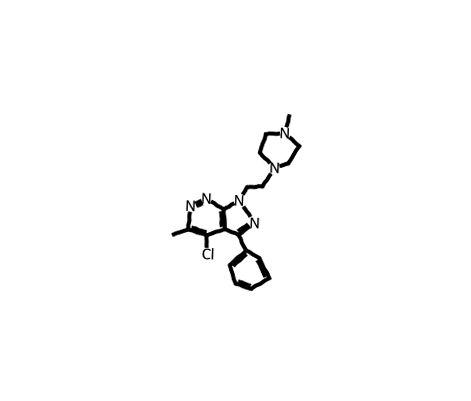 Cc1nnc2c(c(-c3ccccc3)nn2CCN2CCN(C)CC2)c1Cl